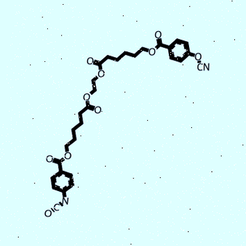 N#COc1ccc(C(=O)OCCCCCC(=O)OCCOC(=O)CCCCCOC(=O)c2ccc(N=C=O)cc2)cc1